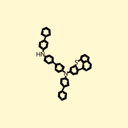 c1ccc(-c2ccc(Nc3ccc(-c4ccc(N(c5ccc(-c6ccccc6)cc5)c5ccc6c(c5)Sc5cccc7cccc-6c57)cc4)cc3)cc2)cc1